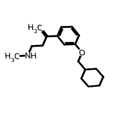 C=C(CCNC)c1cccc(OCC2CCCCC2)c1